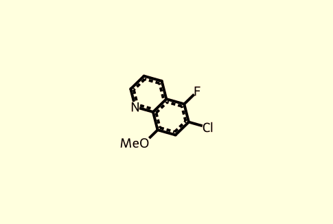 COc1cc(Cl)c(F)c2cccnc12